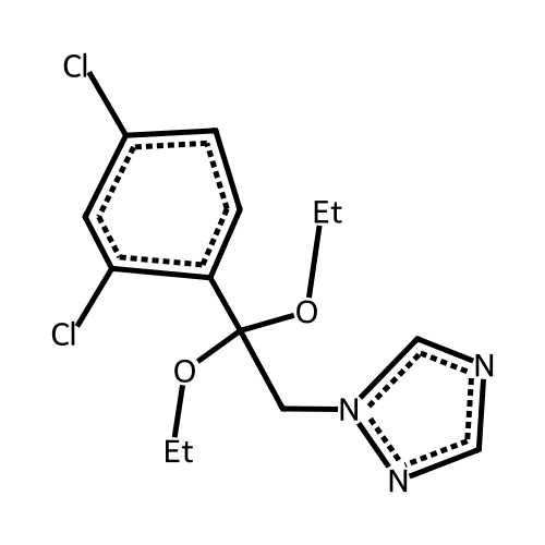 CCOC(Cn1cncn1)(OCC)c1ccc(Cl)cc1Cl